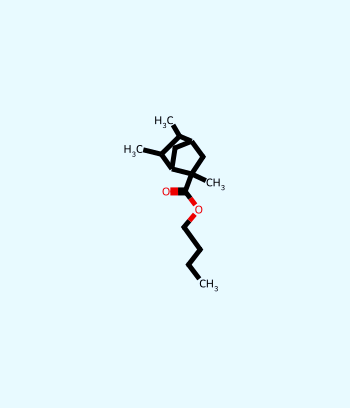 CCCCOC(=O)C1(C)CC2CC1C(C)C2C